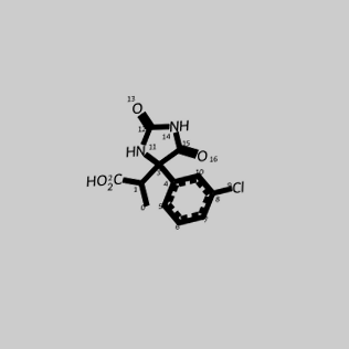 CC(C(=O)O)C1(c2cccc(Cl)c2)NC(=O)NC1=O